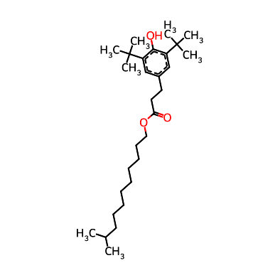 CC(C)CCCCCCCCCOC(=O)CCc1cc(C(C)(C)C)c(O)c(C(C)(C)C)c1